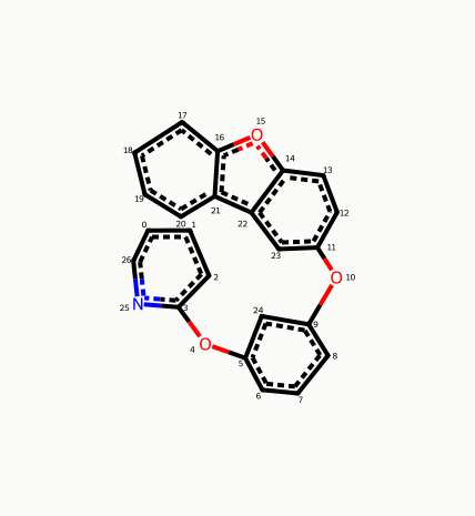 c1ccc(Oc2cccc(Oc3ccc4oc5ccccc5c4c3)c2)nc1